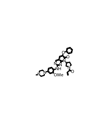 C=CC(=O)N1CC[C@H](n2c(=O)c(Oc3ccccc3)cc3cnc(Nc4ccc(N5CCN(C)CC5)cc4OC)nc32)C1